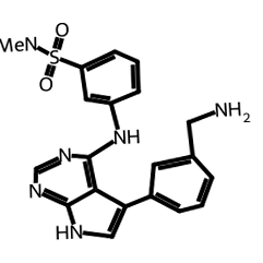 CNS(=O)(=O)c1cccc(Nc2ncnc3[nH]cc(-c4cccc(CN)c4)c23)c1